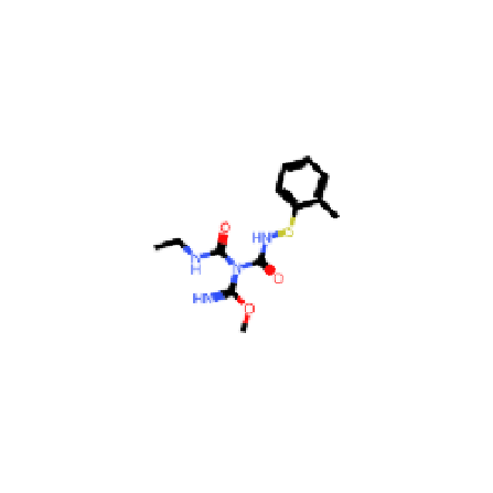 CCNC(=O)N(C(=N)OC)C(=O)NSc1ccccc1C